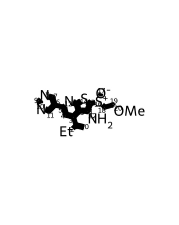 C=C(CC)c1cc(-c2cncnc2)nc2sc([S+]([O-])CCOC)c(N)c12